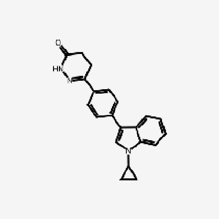 O=C1CCC(c2ccc(-c3cn(C4CC4)c4ccccc34)cc2)=NN1